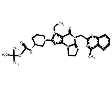 CCn1c(N2CCC[C@@H](NC(=O)OC(C)(C)C)C2)nc2c1C(=O)N(Cc1nc(C)c3ccccc3n1)C1=NCCN12